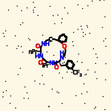 CCC[C@@H]1NC(=O)[C@@H](C(C)C)NC(=O)[C@@H](Cc2cccc(C(F)(F)F)c2)NCCOc2ccccc2CCCNC1=O